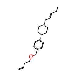 C=CCCOCc1ccc([C@H]2CC[C@H](C/C=C/CC)CC2)cc1